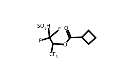 O=C(OC(C(F)(F)F)C(F)(F)S(=O)(=O)O)C1CCC1